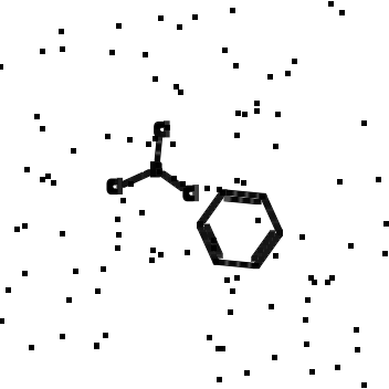 ClB(Cl)Cl.c1ccccc1